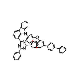 c1ccc(-c2ccc(-c3ccc4c(c3)oc3cc(-n5c6ccccc6c6cccc(-c7nc(-c8ccccc8)nc(-c8ccccc8)n7)c65)ccc34)cc2)cc1